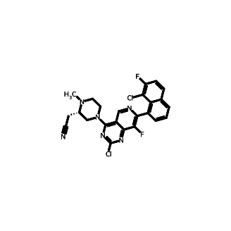 CN1CCN(c2nc(Cl)nc3c(F)c(-c4cccc5ccc(F)c(Cl)c45)ncc23)C[C@@H]1CC#N